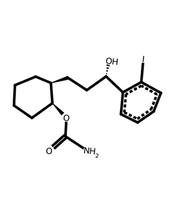 NC(=O)O[C@H]1CCCC[C@H]1CC[C@H](O)c1ccccc1I